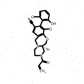 C=CC(=O)N1CCN2Cc3cc(C#N)c(-c4c(O)cccc4Cl)c(Cl)c3OC[C@H]2C1